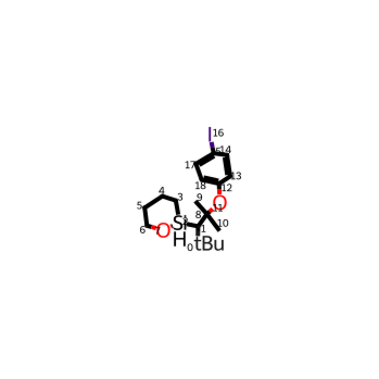 CC(C)(C)C([SiH]1CCCCO1)C(C)(C)Oc1ccc(I)cc1